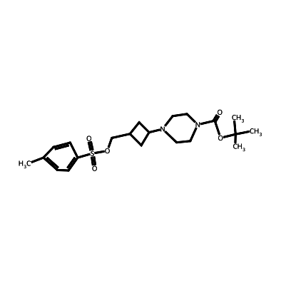 Cc1ccc(S(=O)(=O)OCC2CC(N3CCN(C(=O)OC(C)(C)C)CC3)C2)cc1